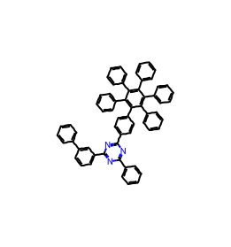 c1ccc(-c2cccc(-c3nc(-c4ccccc4)nc(-c4ccc(-c5c(-c6ccccc6)c(-c6ccccc6)c(-c6ccccc6)c(-c6ccccc6)c5-c5ccccc5)cc4)n3)c2)cc1